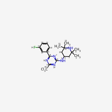 CC1(C)CC(Nc2nc(-c3cccc(F)c3)nc(C(Cl)(Cl)Cl)n2)CC(C)(C)N1